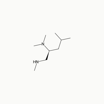 CNC[C@H](CC(C)C)N(C)C